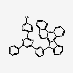 N#Cc1ccc(-c2nc(-c3ccccc3)nc(-c3cccc(-n4c5ccccc5c5c6ccccc6c6c7ccccc7ccc6c54)c3)n2)cc1